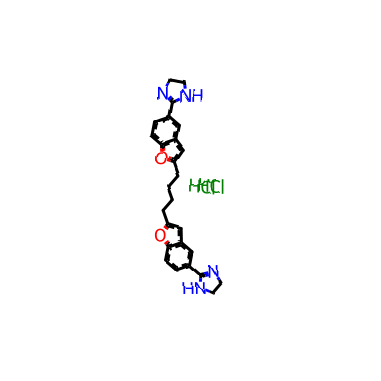 Cl.Cl.c1cc2oc(CCCCc3cc4cc(C5=NCCN5)ccc4o3)cc2cc1C1=NCCN1